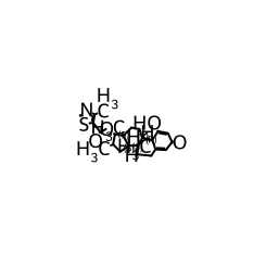 Cc1ncsc1C(=O)OC1C(C)C[C@H]2[C@@H]3CCC4=CC(=O)C=C(O)[C@]4(C)[C@H]3CC[C@]12C